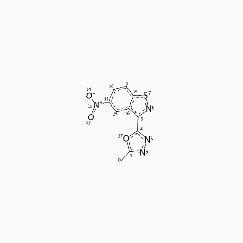 Cc1nnc(-c2nsc3ccc([N+](=O)[O-])cc23)o1